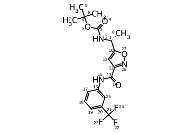 C[C@@H](NC(=O)OC(C)(C)C)c1cc(C(=O)Nc2cccc(C(F)(F)F)c2)no1